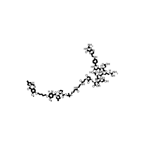 C=C1C[C@H]2C=Nc3cc(OCCCCCOc4cc(N)c(C(=O)N5CC(=C)C[C@H]5C5OCCN5C(=O)OCC(C)(C)SSCCC(=O)NCCNC(=O)CCN5C(=O)CC(SC[C@H](NC(=O)[C@H](CC(=O)O)NC(=O)[C@H](CC(=O)O)NC(=O)[C@H](CCCNC(=N)N)NC(=O)[C@H](CC(=O)O)NC(=O)CC[C@@H](C)NC(=O)c6ccc(NCc7cnc8nc(N)[nH]c(=O)c8n7)cc6)C(=O)O)C5=O)cc4OC)c(OC)cc3C(=O)N2C1